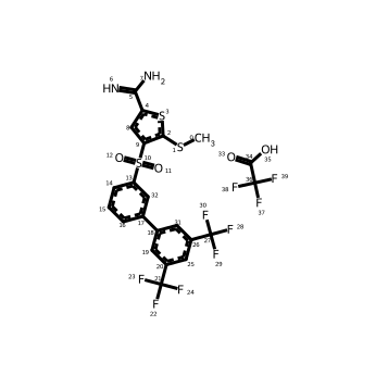 CSc1sc(C(=N)N)cc1S(=O)(=O)c1cccc(-c2cc(C(F)(F)F)cc(C(F)(F)F)c2)c1.O=C(O)C(F)(F)F